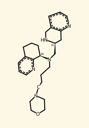 c1cnc2c(c1)CN[C@H](CN(CCCCN1CCOCC1)[C@@H]1CCCc3cccnc31)C2